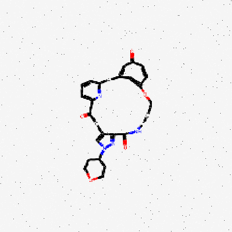 O=C1Cc2cn(C3CCOCC3)nc2C(=O)NCCCOc2ccc(=O)cc(c2)Cc2cccc1n2